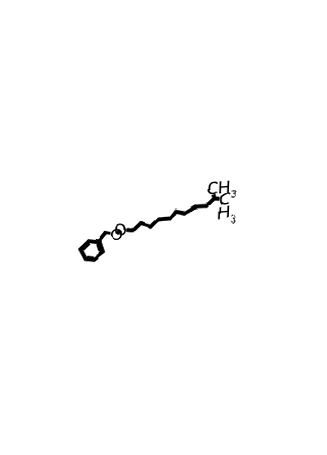 CC(C)CCCCCCCCCOOCc1ccccc1